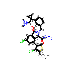 CN(C)CC1(c2cccc(CN3C(=O)c4cc(Cl)cc(-c5csc(C(=O)O)c5Cl)c4C3C(N)=O)c2)CC1